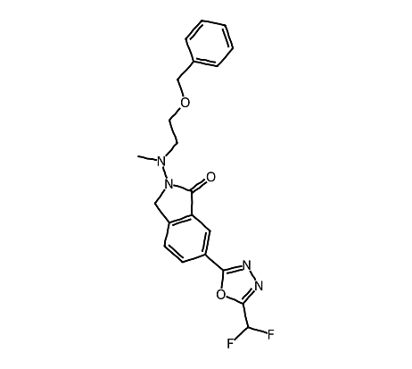 CN(CCOCc1ccccc1)N1Cc2ccc(-c3nnc(C(F)F)o3)cc2C1=O